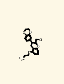 C=CCOc1ccccc1CC(C(=O)CCl)c1ccc2c(c1)OCCO2